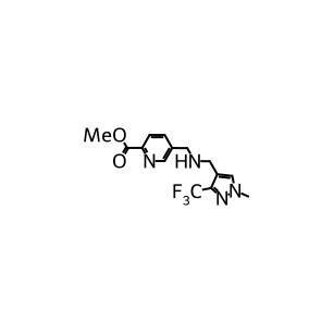 COC(=O)c1ccc(CNCc2cn(C)nc2C(F)(F)F)cn1